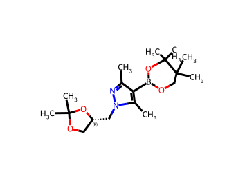 Cc1nn(C[C@@H]2COC(C)(C)O2)c(C)c1B1OCC(C)(C)C(C)(C)O1